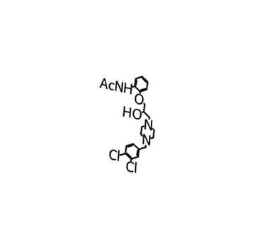 CC(=O)Nc1ccccc1OCC(O)CN1CCN(Cc2ccc(Cl)c(Cl)c2)CC1